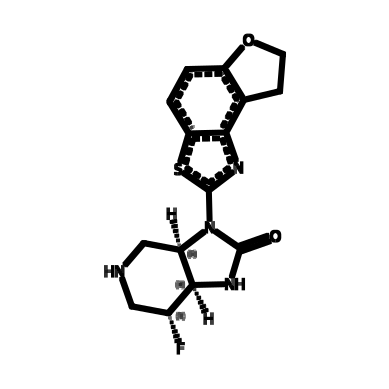 O=C1N[C@H]2[C@H](F)CNC[C@H]2N1c1nc2c3c(ccc2s1)OCC3